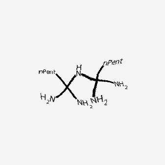 CCCCCC(N)(N)NC(N)(N)CCCCC